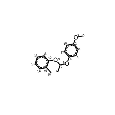 COc1ccc(OC(C)Oc2ccccc2C)cc1